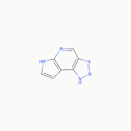 c1cc2c(ncc3nn[nH]c32)[nH]1